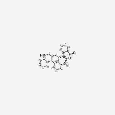 NCC=CC(Nc1ccccc1[N+](=O)[O-])c1c(CN2CCOCC2)cccc1[N+](=O)[O-]